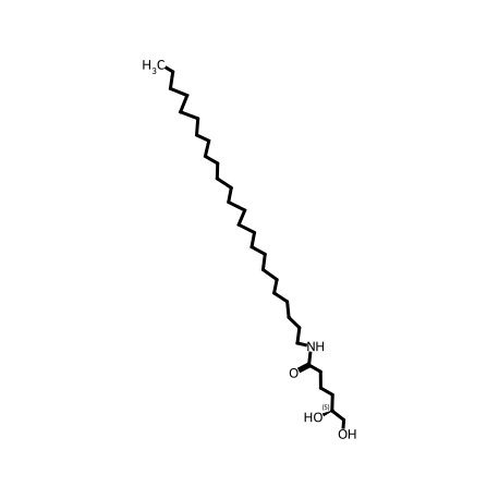 CCCCCCCCCCCCCCCCCCCCCCCCCNC(=O)CCC[C@H](O)CO